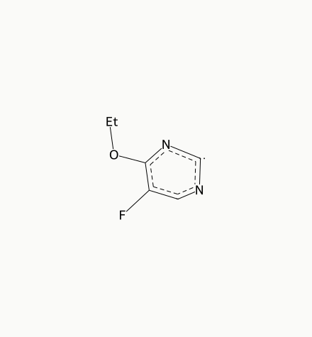 CCOc1n[c]ncc1F